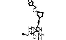 C#CCNC(=O)c1c(NC)nc(C#Cc2cccc(OCc3ccoc3)c2)n1C